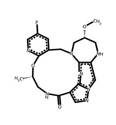 CO[C@@H]1CNc2cn3ncc4c3nc2N(Cc2cc(F)cnc2O[C@@H](C)CNC4=O)C1